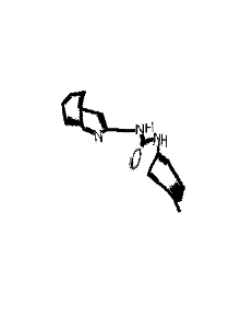 Cc1ccc(NC(=O)Nc2cc3ccccc3cn2)cc1